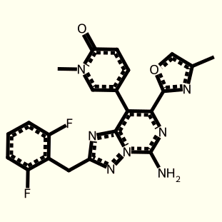 Cc1coc(-c2nc(N)n3nc(Cc4c(F)cccc4F)nc3c2-c2ccc(=O)n(C)c2)n1